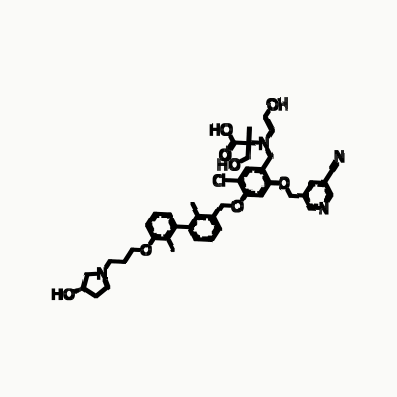 Cc1c(COc2cc(OCc3cncc(C#N)c3)c(CN(CCO)C(C)(CO)C(=O)O)cc2Cl)cccc1-c1cccc(OCCCN2CC[C@@H](O)C2)c1C